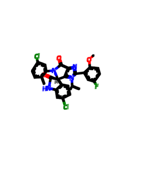 COc1ccc(F)cc1-c1nc2c(n1C(C)C)[C@]1(C(=O)Nc3cc(Cl)ccc31)N(c1cc(Cl)ccc1C)C2=O